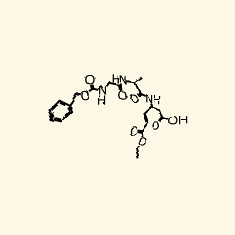 CCOC(=O)/C=C/[C@H](CC(=O)O)NC(=O)[C@H](C)NC(=O)CNC(=O)OCc1ccccc1